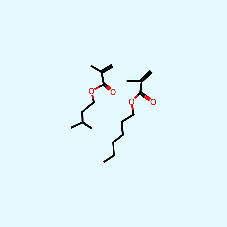 C=C(C)C(=O)OCCC(C)C.C=C(C)C(=O)OCCCCCC